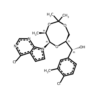 Cc1cc([C@@H](O)[C@@H]2COC(C)(C)O[C@H](C)[C@H](n3ccc4c(Cl)ncnc43)O2)ccc1Cl